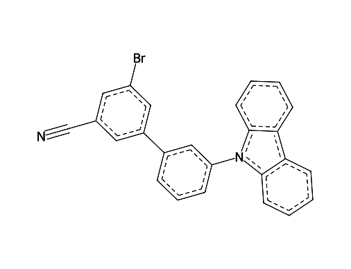 N#Cc1cc(Br)cc(-c2cccc(-n3c4ccccc4c4ccccc43)c2)c1